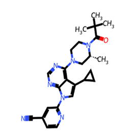 C[C@@H]1CN(c2ncnc3c2c(C2CC2)cn3-c2cc(C#N)ccn2)CCN1C(=O)C(C)(C)C